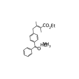 CCOC(=O)C(C)=C(C)Cc1ccc(C(=O)c2ccccc2)cc1.Cl.N